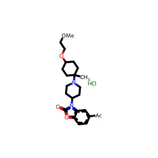 COCCOC1CCC(C)(N2CCC(n3c(=O)oc4ccc(C(C)=O)cc43)CC2)CC1.Cl